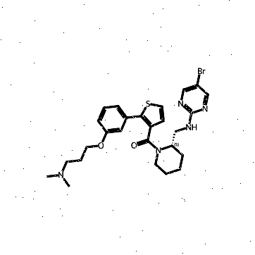 CN(C)CCCOc1cccc(-c2sccc2C(=O)N2CCCC[C@H]2CNc2ncc(Br)cn2)c1